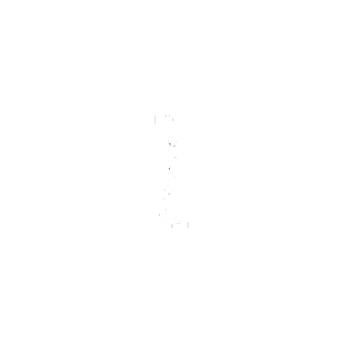 CCCCOCCOCCOCCOCCO